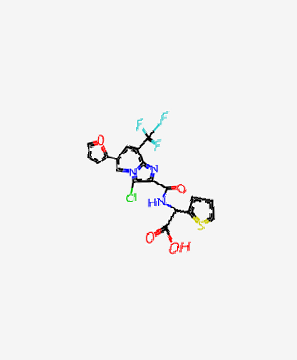 O=C(NC(C(=O)O)c1cccs1)c1nc2c(C(F)(F)F)cc(-c3ccco3)cn2c1Cl